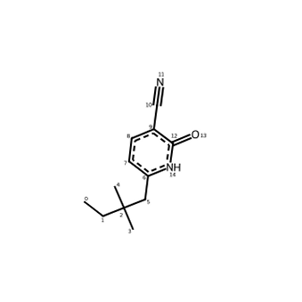 CCC(C)(C)Cc1ccc(C#N)c(=O)[nH]1